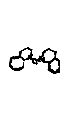 c1ccc2c(c1)CCCN2ON1CCCc2ccccc21